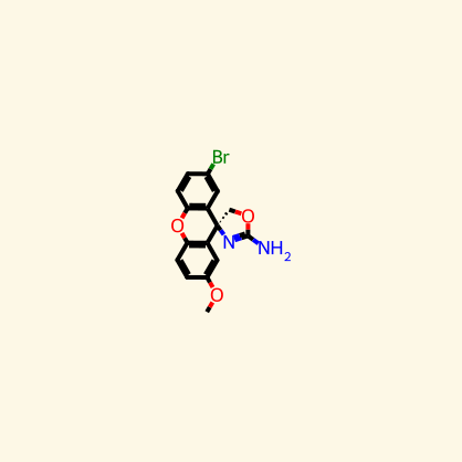 COc1ccc2c(c1)[C@@]1(COC(N)=N1)c1cc(Br)ccc1O2